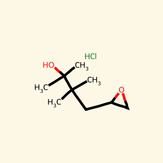 CC(C)(O)C(C)(C)CC1CO1.Cl